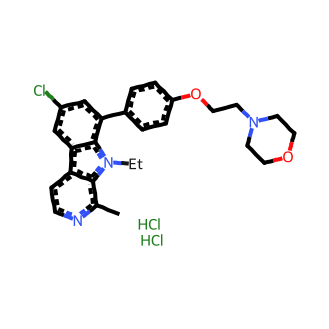 CCn1c2c(-c3ccc(OCCN4CCOCC4)cc3)cc(Cl)cc2c2ccnc(C)c21.Cl.Cl